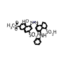 CS(=O)(=O)c1cc(O)c2c(/N=N\c3ccc(Nc4ccccc4)c4c(S(=O)(=O)O)cccc34)cc(S(=O)(=O)O)cc2c1